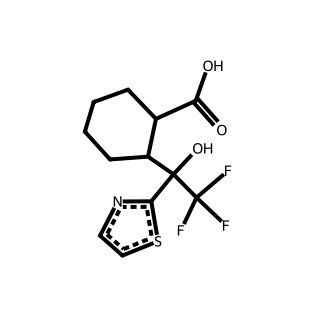 O=C(O)C1CCCCC1C(O)(c1nccs1)C(F)(F)F